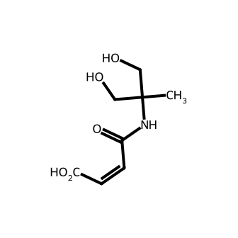 CC(CO)(CO)NC(=O)/C=C\C(=O)O